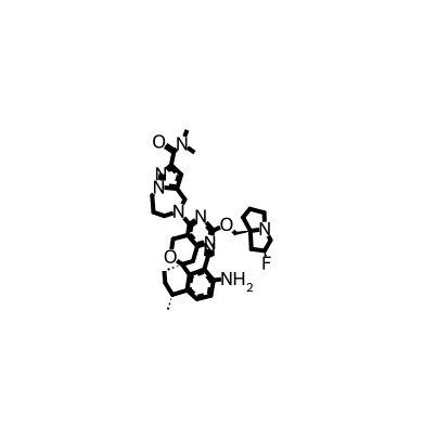 C[C@@H]1CC[C@]2(Cc3nc(OC[C@@]45CCCN4C[C@H](F)C5)nc(N4CCCn5nc(C(=O)N(C)C)cc5C4)c3CO2)c2c1ccc(N)c2C#N